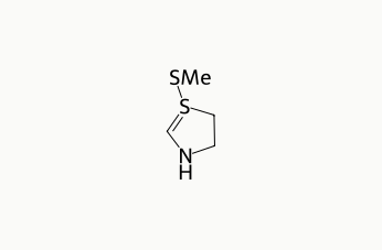 CSS1=CNCC1